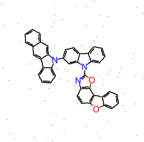 c1ccc2cc3c(cc2c1)c1ccccc1n3-c1ccc2c3ccccc3n(-c3nc4ccc5oc6ccccc6c5c4o3)c2c1